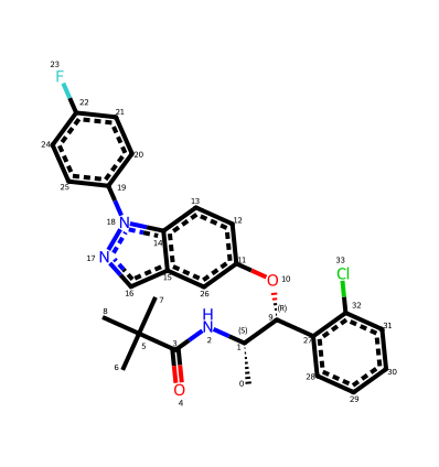 C[C@H](NC(=O)C(C)(C)C)[C@H](Oc1ccc2c(cnn2-c2ccc(F)cc2)c1)c1ccccc1Cl